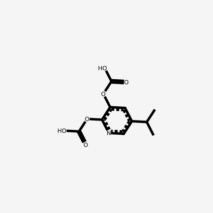 CC(C)c1cnc(OC(=O)O)c(OC(=O)O)c1